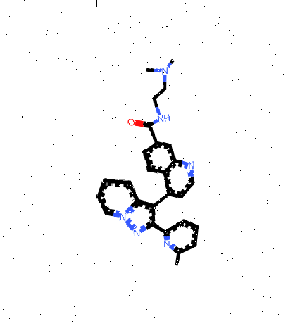 Cc1cccc(-c2nn3ccccc3c2-c2ccnc3cc(C(=O)NCCN(C)C)ccc23)n1